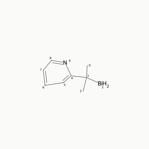 C[C](C)([BiH2])c1ccccn1